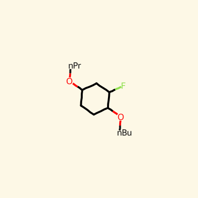 CCCCOC1CCC(OCCC)CC1F